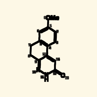 COc1ccc2c(c1)CCc1n[nH]c(=O)cc1-2